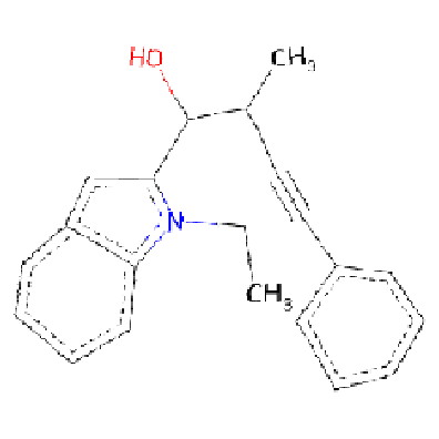 CCn1c(C(O)C(C)C#Cc2ccccc2)cc2ccccc21